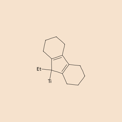 CC[C]1([Ti])C2=C(CCCC2)C2=C1CCCC2